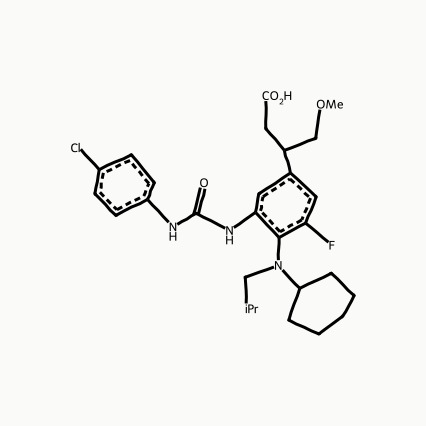 COCC(CC(=O)O)c1cc(F)c(N(CC(C)C)C2CCCCC2)c(NC(=O)Nc2ccc(Cl)cc2)c1